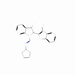 Cc1c(C2C(C)c3ccccc3N2C=NC2CCCC2)[nH]c2ccccc12